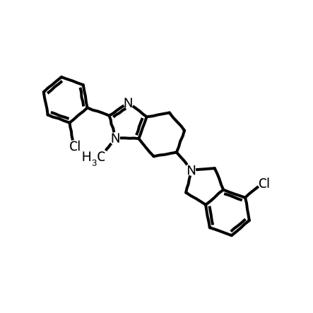 Cn1c(-c2ccccc2Cl)nc2c1CC(N1Cc3cccc(Cl)c3C1)CC2